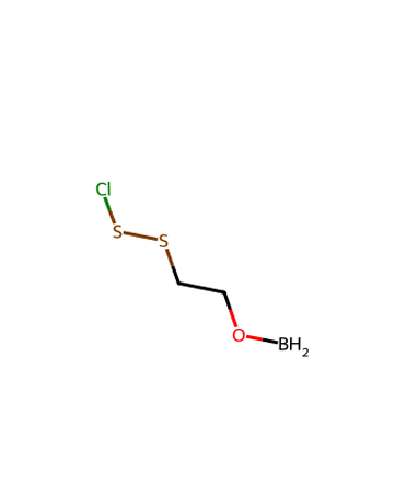 BOCCSSCl